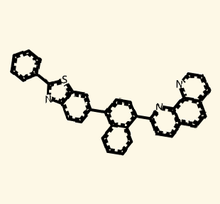 c1ccc(-c2nc3ccc(-c4ccc(-c5ccc6ccc7cccnc7c6n5)c5ccccc45)cc3s2)cc1